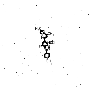 Cc1cn2nc(-c3cc(F)c4nc(C5CCN(C)CC5)nnc4c3)cc(C)c2n1.Cl.Cl